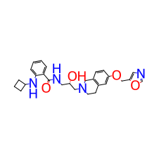 O=C(NC[C@H](O)CN1CCc2cc(OCc3cnco3)ccc2C1)c1ccccc1NC1CCC1